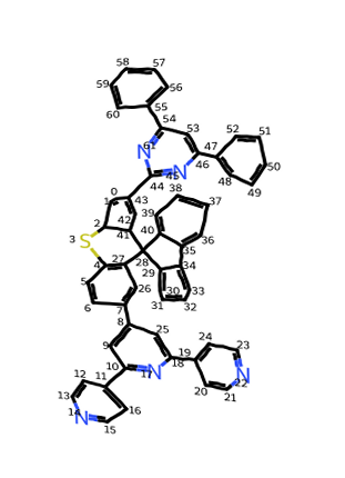 C1=CC2Sc3ccc(-c4cc(-c5ccncc5)nc(-c5ccncc5)c4)cc3C3(c4ccccc4-c4ccccc43)C2C=C1c1nc(-c2ccccc2)cc(-c2ccccc2)n1